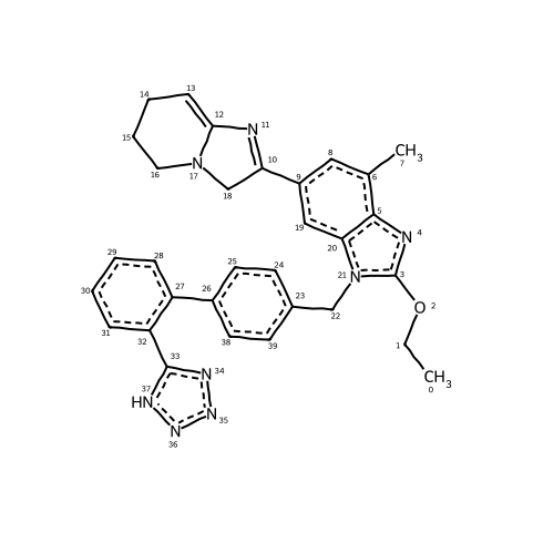 CCOc1nc2c(C)cc(C3=NC4=CCCCN4C3)cc2n1Cc1ccc(-c2ccccc2-c2nnn[nH]2)cc1